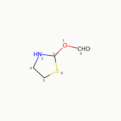 O=[C]OC1NCCS1